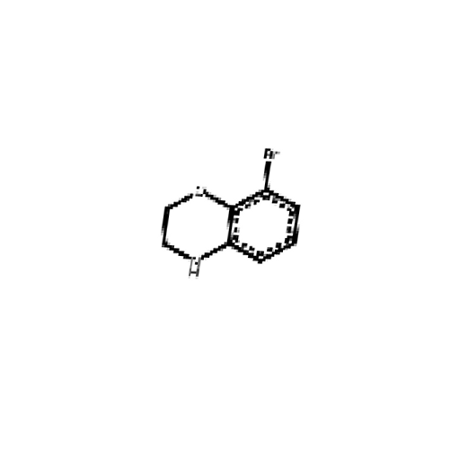 Brc1cccc2c1OCCN2